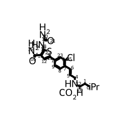 CC(C)C[C@H](NCC=Cc1ccc(-c2cc(C(N)=O)c(NC(N)=O)s2)cc1Cl)C(=O)O